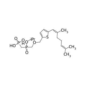 CC(C)=CCCC(C)=Cc1ccc(COCP(=O)(CP(=O)(O)O)OC(C)C)s1